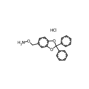 Cl.NOCc1ccc2c(c1)OC(c1ccccc1)(c1ccccc1)O2